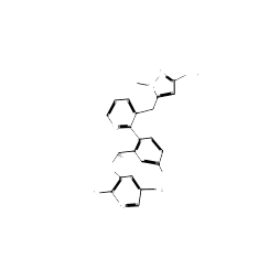 C[C@@H](Oc1cc(Br)cnc1[N+](=O)[O-])c1cc(F)ccc1-c1ncccc1Cc1cc(C#N)nn1C